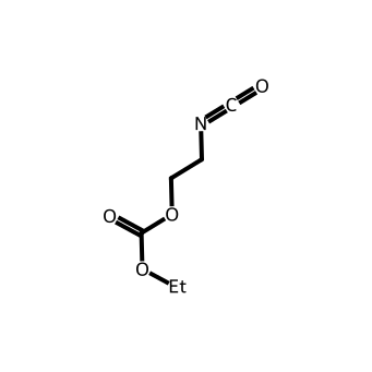 CCOC(=O)OCCN=C=O